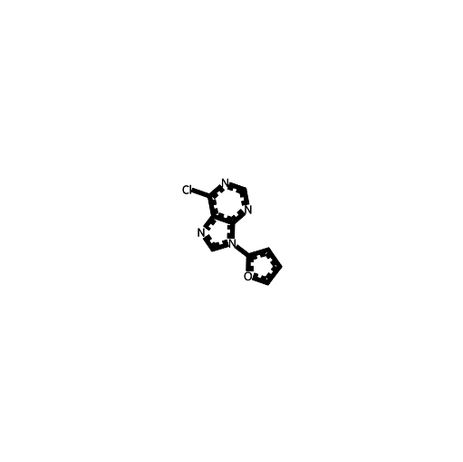 Clc1ncnc2c1ncn2-c1ccco1